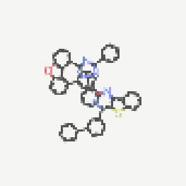 c1ccc(-c2cccc(-c3nc(-c4cccc(-c5cccc6oc7cccc(-c8nc(-c9ccccc9)nc(-c9ccccc9)n8)c7c56)c4)nc4c3sc3ccccc34)c2)cc1